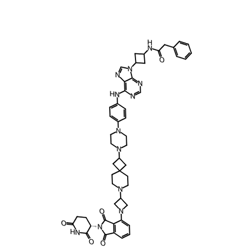 O=C1CC[C@H](N2C(=O)c3cccc(N4CC(N5CCC6(CC5)CC(N5CCN(c7ccc(Nc8ncnc9c8ncn9C8CC(NC(=O)Cc9ccccc9)C8)cc7)CC5)C6)C4)c3C2=O)C(=O)N1